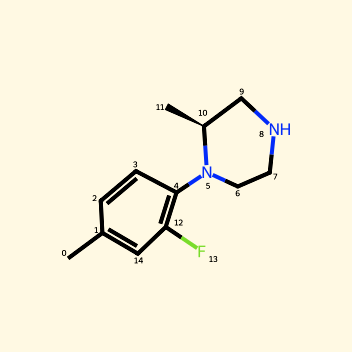 Cc1ccc(N2CCNC[C@@H]2C)c(F)c1